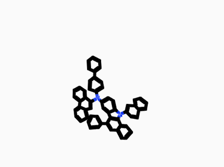 c1ccc(-c2ccc(N(c3ccc4c(c3)c3c(-c5ccccc5)cc5ccccc5c3n4-c3ccc4ccccc4c3)c3cc4ccccc4c4ccccc34)cc2)cc1